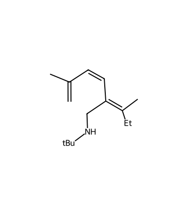 C=C(C)/C=C\C(CNC(C)(C)C)=C(/C)CC